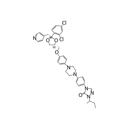 CCC(C)n1ncn(-c2ccc(N3CCN(c4ccc(OC[C@@H]5CO[C@@](Cc6ccncc6)(c6ccc(Cl)cc6Cl)O5)cc4)CC3)cc2)c1=O